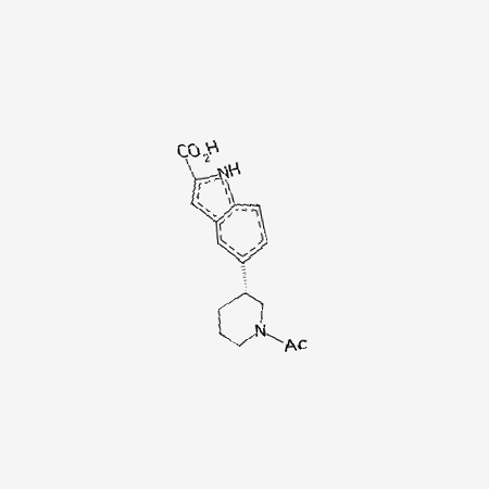 CC(=O)N1CCC[C@H](c2ccc3[nH]c(C(=O)O)cc3c2)C1